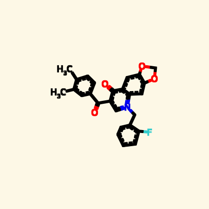 Cc1ccc(C(=O)c2cn(Cc3ccccc3F)c3cc4c(cc3c2=O)OCO4)cc1C